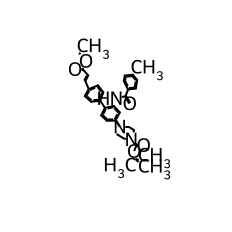 CCOC(=O)/C=C/c1ccc(-c2ccc(N3CCN(C(=O)OC(C)(C)C)CC3)cc2NC(=O)c2ccc(C)cc2)cc1